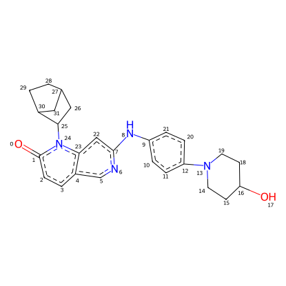 O=c1ccc2cnc(Nc3ccc(N4CCC(O)CC4)cc3)cc2n1C1CC2CCC1C2